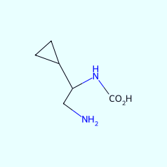 NCC(NC(=O)O)C1CC1